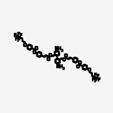 Nc1ccc(-c2ccc(N)cc2COC(=O)/C=C/c2ccc(OC(=O)c3ccc(OCCCC(F)(F)C(F)(F)F)cc3)cc2)c(COC(=O)/C=C/c2ccc(OC(=O)c3ccc(OCCCC(F)(F)C(F)(F)F)cc3)cc2)c1